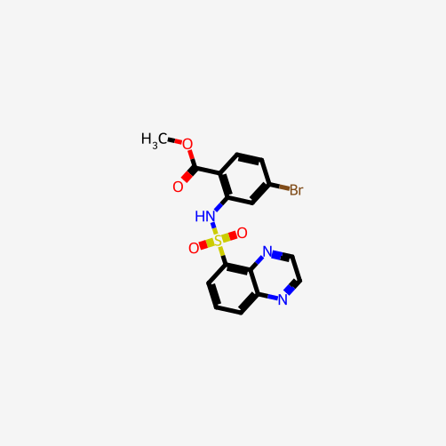 COC(=O)c1ccc(Br)cc1NS(=O)(=O)c1cccc2nccnc12